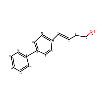 OCC/C=C/c1ccc(-c2ccccc2)cc1